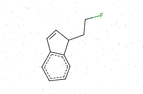 FCCC1C=Cc2[c]cccc21